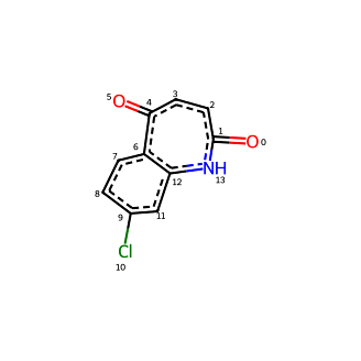 O=c1ccc(=O)c2ccc(Cl)cc2[nH]1